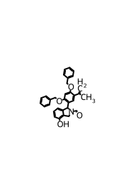 C=C(C)c1cc(C2c3cccc(O)c3CN2C=O)c(OCc2ccccc2)cc1OCc1ccccc1